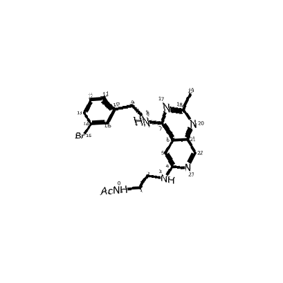 CC(=O)NCCNc1cc2c(NCc3cccc(Br)c3)nc(C)nc2cn1